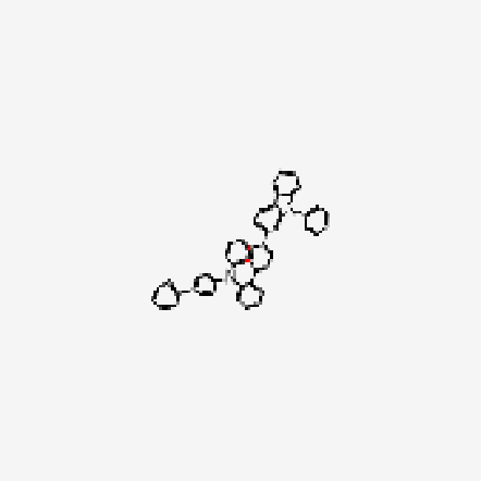 c1ccc(-c2ccc(N(c3ccccc3)c3ccccc3-c3ccc(-c4ccc5c6ccccc6n(-c6ccccc6)c5c4)cc3)cc2)cc1